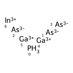 P.[As-3].[As-3].[As-3].[Ga+3].[Ga+3].[In+3]